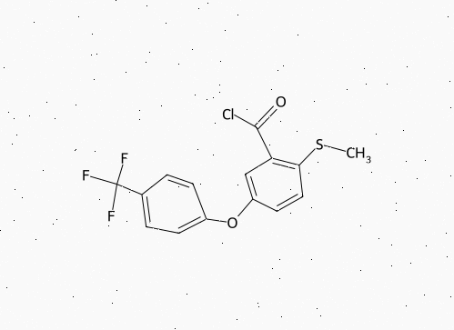 CSc1ccc(Oc2ccc(C(F)(F)F)cc2)cc1C(=O)Cl